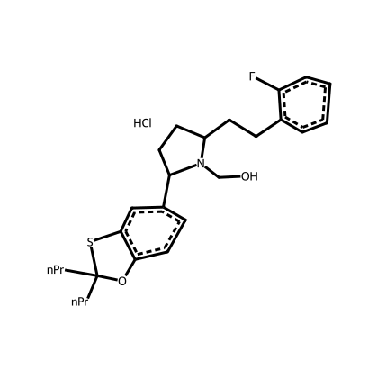 CCCC1(CCC)Oc2ccc(C3CCC(CCc4ccccc4F)N3CO)cc2S1.Cl